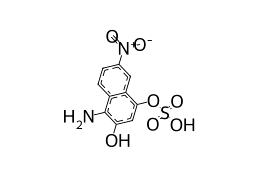 Nc1c(O)cc(OS(=O)(=O)O)c2cc([N+](=O)[O-])ccc12